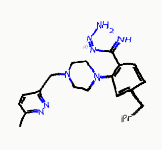 Cc1ccc(CN2CCN(c3cc(CC(C)C)ccc3C(=N)/N=N\N)CC2)nn1